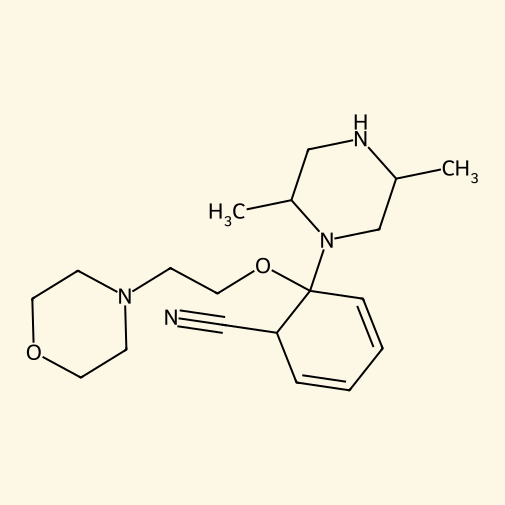 CC1CN(C2(OCCN3CCOCC3)C=CC=CC2C#N)C(C)CN1